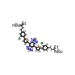 CCCCC(CC)CCc1ccc(-c2ccc(-c3c4c(c(-c5ccc(-c6ccc(CCC(CC)CCCC)cc6F)s5)c5nsnc35)N=S=N4)s2)c(F)c1